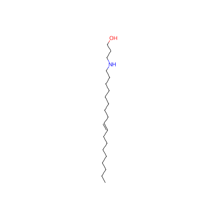 CCCCCCCCC=CCCCCCCCCNCCCO